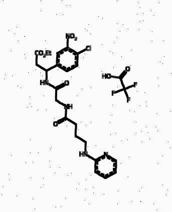 CCOC(=O)CC(NC(=O)CNC(=O)CCCNc1ccccn1)c1ccc(Cl)c([N+](=O)[O-])c1.O=C(O)C(F)(F)F